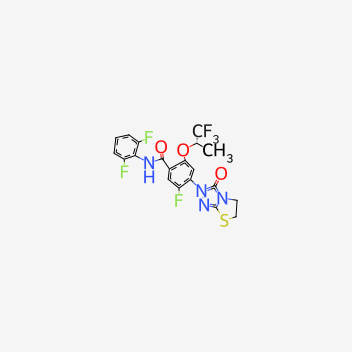 C[C@H](Oc1cc(-n2nc3n(c2=O)CCS3)c(F)cc1C(=O)Nc1c(F)cccc1F)C(F)(F)F